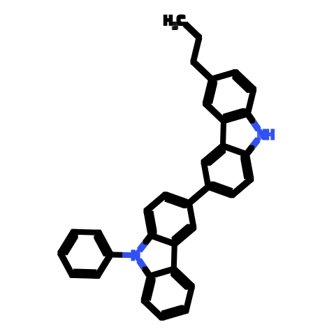 CCCc1ccc2[nH]c3ccc(-c4ccc5c(c4)c4ccccc4n5-c4ccccc4)cc3c2c1